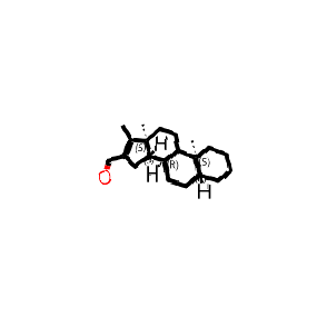 CC1=C(C=O)C[C@H]2[C@@H]3CC[C@H]4CCCC[C@]4(C)C3CC[C@]12C